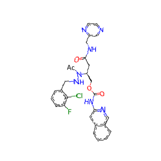 CC(=O)N(NCc1cccc(F)c1Cl)[C@H](COC(=O)Nc1cc2ccccc2cn1)CC(=O)NCc1cnccn1